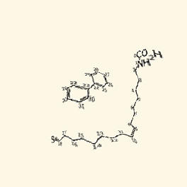 O=C(O)NCCCCCCC/C=C\CCCCCCCC=S.c1ccc(-c2ccccc2)cc1